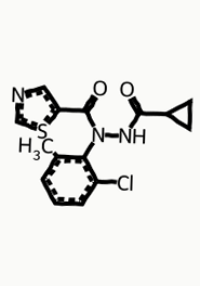 Cc1cccc(Cl)c1N(NC(=O)C1CC1)C(=O)c1cncs1